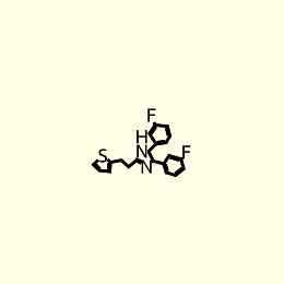 Fc1cccc(C2N=C(CCc3cccs3)NC2c2cccc(F)c2)c1